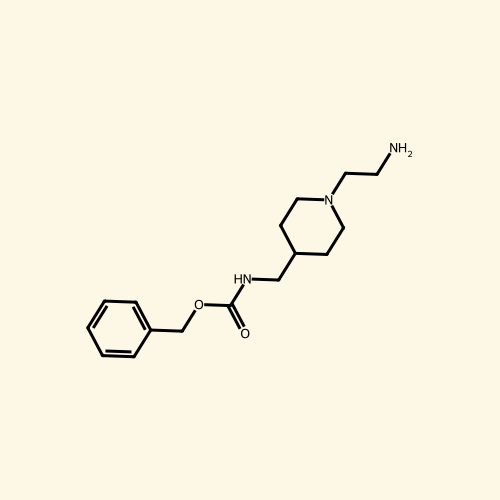 NCCN1CCC(CNC(=O)OCc2ccccc2)CC1